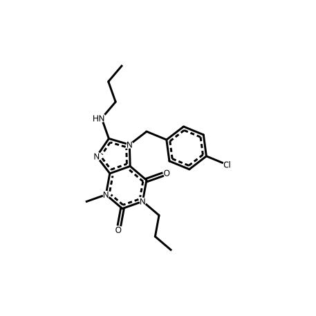 CCCNc1nc2c(c(=O)n(CCC)c(=O)n2C)n1Cc1ccc(Cl)cc1